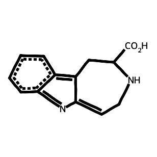 O=C(O)C1CC2=c3ccccc3=NC2=CCN1